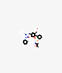 CCCCc1nn(-c2ccccc2Cl)c(=O)n1Cc1ccc(-c2cc(F)ccc2S(=O)(=O)Nc2noc(C)c2C)c(COCC)c1